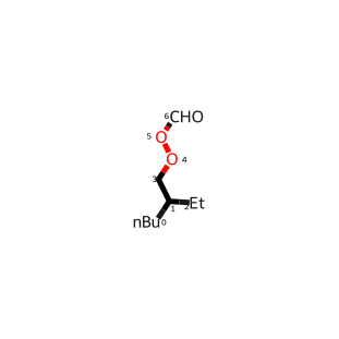 CCCCC(CC)COOC=O